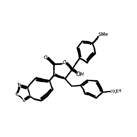 CCOC(=O)c1ccc(CC2=C(c3ccc4nsnc4c3)C(=O)OC2(O)c2ccc(SC)cc2)cc1